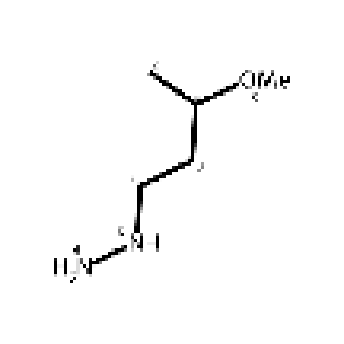 COC(C)CCNN